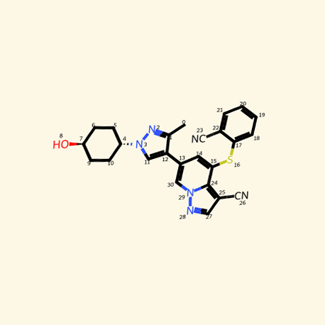 Cc1nn([C@H]2CC[C@H](O)CC2)cc1-c1cc(Sc2ccccc2C#N)c2c(C#N)cnn2c1